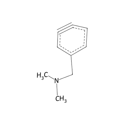 CN(C)Cc1cc#ccc1